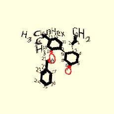 C=CC[C@@H]1CCC(=O)C[C@H]1c1ccc(C(C)(C)CCCCCC)cc1OCc1ccccc1